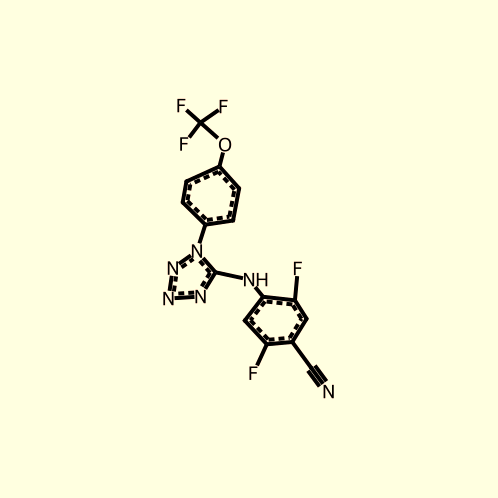 N#Cc1cc(F)c(Nc2nnnn2-c2ccc(OC(F)(F)F)cc2)cc1F